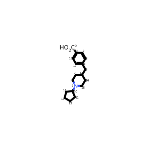 O=C(O)c1ccc(CC2CCN(C3CCCC3)CC2)cc1